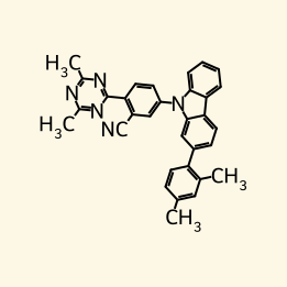 Cc1ccc(-c2ccc3c4ccccc4n(-c4ccc(-c5nc(C)nc(C)n5)c(C#N)c4)c3c2)c(C)c1